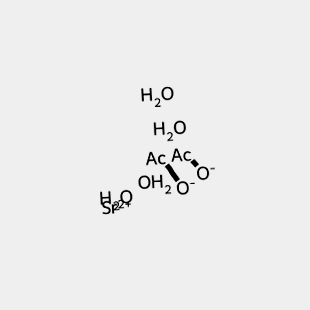 CC(=O)[O-].CC(=O)[O-].O.O.O.O.[Sr+2]